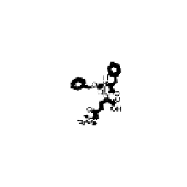 CS(C)(Br)CC(=O)CCC(NC(=O)C(Cc1ccccc1)NC(=O)OCc1ccccc1)C(=O)O